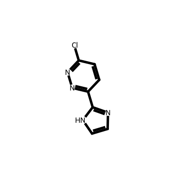 Clc1ccc(-c2ncc[nH]2)nn1